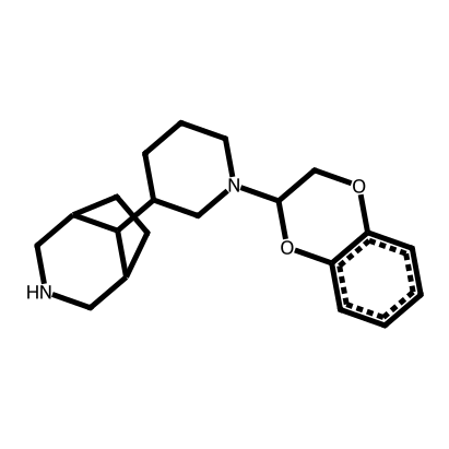 c1ccc2c(c1)OCC(N1CCCC(C3C4CCC3CNC4)C1)O2